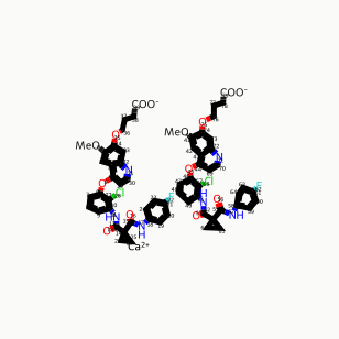 COc1cc2c(Oc3cccc(NC(=O)C4(C(=O)Nc5ccc(F)cc5)CC4)c3Cl)ccnc2cc1OCCCC(=O)[O-].COc1cc2c(Oc3cccc(NC(=O)C4(C(=O)Nc5ccc(F)cc5)CC4)c3Cl)ccnc2cc1OCCCC(=O)[O-].[Ca+2]